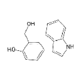 OCc1ccccc1O.c1ccc2[nH]ccc2c1